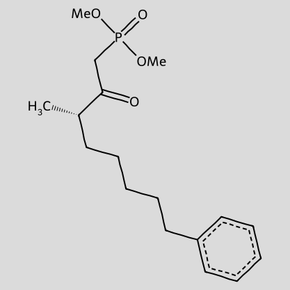 COP(=O)(CC(=O)[C@@H](C)CCCCCc1ccccc1)OC